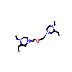 CCC1CN(CCOCCN2CCN(CC)C(CC)C2)CCN1CC